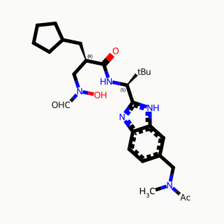 CC(=O)N(C)Cc1ccc2nc([C@@H](NC(=O)[C@H](CC3CCCC3)CN(O)C=O)C(C)(C)C)[nH]c2c1